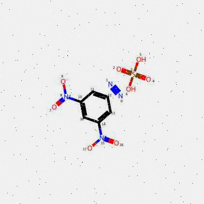 N#N.O=S(=O)(O)O.O=[N+]([O-])c1cccc([N+](=O)[O-])c1